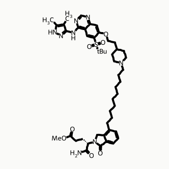 COC(=O)CC[C@@H](C(N)=O)N1Cc2c(CCCCCCCCCCN3CCC(CCOc4cc5ncnc(Nc6n[nH]c(C)c6C)c5cc4S(=O)(=O)C(C)(C)C)CC3)cccc2C1=O